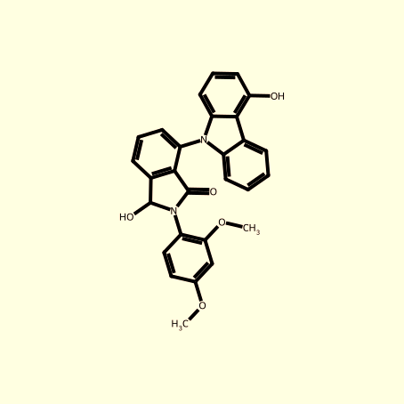 COc1ccc(N2C(=O)c3c(cccc3-n3c4ccccc4c4c(O)cccc43)C2O)c(OC)c1